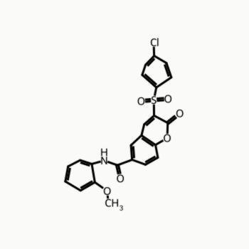 COc1ccccc1NC(=O)c1ccc2oc(=O)c(S(=O)(=O)c3ccc(Cl)cc3)cc2c1